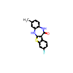 Cc1ccc2c(c1)Nc1sc3cc(F)ccc3c1C(=O)N2